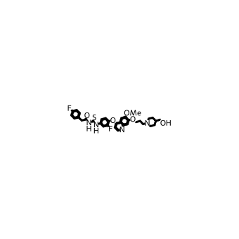 COc1cc2c(Oc3ccc(NC(=S)NC(=O)Cc4ccc(F)cc4)cc3F)ccnc2cc1OCCCN1CCC(CO)CC1